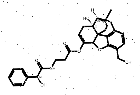 CN1CCC23c4c5ccc(CO)c4OC2C(OC(=O)CCNC(=O)[C@@H](O)c2ccccc2)=CC[C@@]3(O)[C@H]1C5